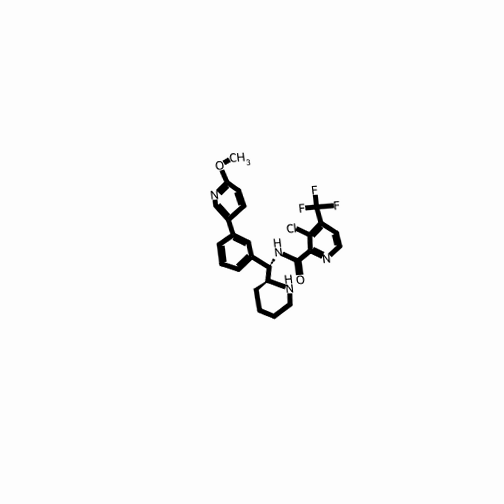 COc1ccc(-c2cccc([C@H](NC(=O)c3nccc(C(F)(F)F)c3Cl)[C@@H]3CCCCN3)c2)cn1